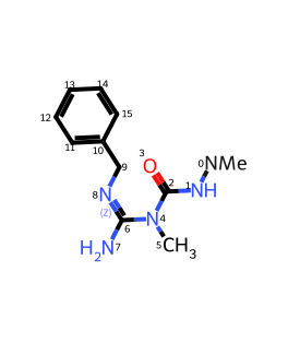 CNNC(=O)N(C)/C(N)=N\Cc1ccccc1